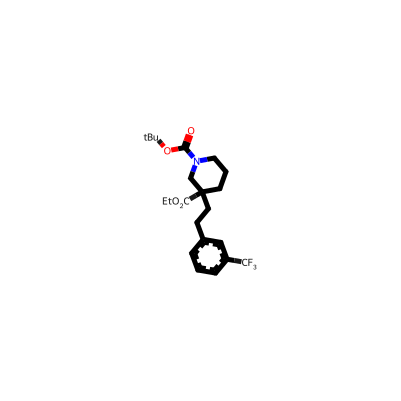 CCOC(=O)C1(CCc2cccc(C(F)(F)F)c2)CCCN(C(=O)OC(C)(C)C)C1